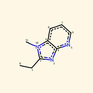 CCc1nc2ncccc2n1C